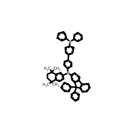 CC1(C)CCC(C)(C)c2cc(N(c3ccc(-c4ccc(N(c5ccccc5)c5ccccc5)cc4)cc3)c3ccc4c(c3)C(c3ccccc3)(c3ccccc3)c3ccccc3-4)ccc21